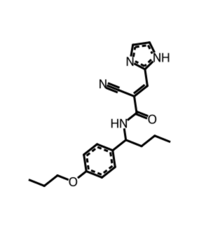 CCCOc1ccc(C(CCC)NC(=O)/C(C#N)=C/c2ncc[nH]2)cc1